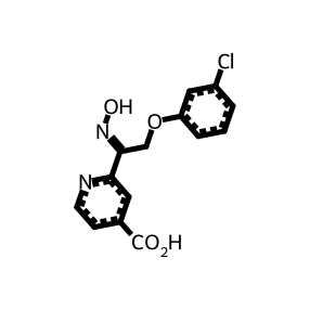 O=C(O)c1ccnc(/C(COc2cccc(Cl)c2)=N/O)c1